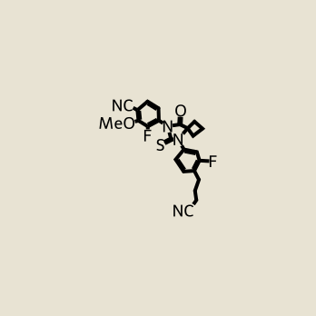 COc1c(C#N)ccc(N2C(=O)C3(CCC3)N(c3ccc(CCCC#N)c(F)c3)C2=S)c1F